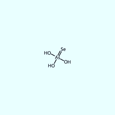 O[As](O)(O)=[Se]